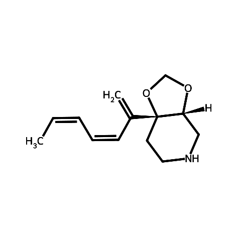 C=C(/C=C\C=C/C)[C@]12CCNC[C@H]1OCO2